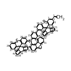 C=Cc1ccc2c(c1)Sc1ccc(-c3ccc(N(c4ccc5c(c4)C4(c6ccccc6S5)c5ccccc5-c5ccccc54)c4cccc5oc6ccccc6c45)cc3)cc1C21c2ccccc2-c2ccccc21